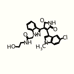 Cn1cc(C2=C(c3nn(CC(=O)NCCO)c4ccccc34)C(=O)NC2=O)c2cc(Cl)ccc21